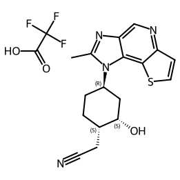 Cc1nc2cnc3ccsc3c2n1[C@@H]1CC[C@@H](CC#N)[C@@H](O)C1.O=C(O)C(F)(F)F